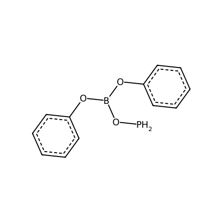 POB(Oc1ccccc1)Oc1ccccc1